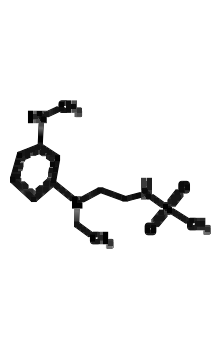 CCN(CCNS(C)(=O)=O)c1cccc(NC)c1